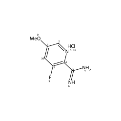 COc1cnc(C(=N)N)c(F)c1.Cl